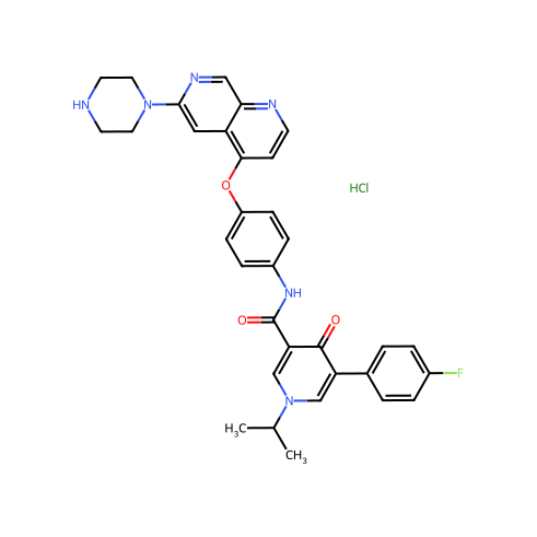 CC(C)n1cc(C(=O)Nc2ccc(Oc3ccnc4cnc(N5CCNCC5)cc34)cc2)c(=O)c(-c2ccc(F)cc2)c1.Cl